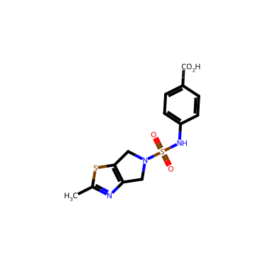 Cc1nc2c(s1)CN(S(=O)(=O)Nc1ccc(C(=O)O)cc1)C2